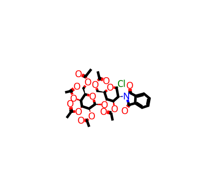 CC(=O)OC[C@H]1O[C@@H](O[C@H]2[C@H](OC(C)=O)[C@@H](N3C(=O)c4ccccc4C3=O)[C@H](Cl)O[C@@H]2COC(C)=O)[C@H](OC(C)=O)[C@@H](OC(C)=O)[C@H]1OC(C)=O